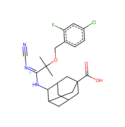 CC(C)(OCc1ccc(Cl)cc1F)/C(=N\C#N)NC1C2CC3CC1CC(C(=O)O)(C3)C2